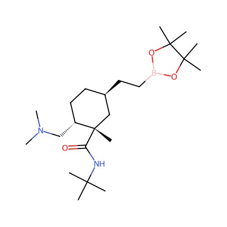 CN(C)C[C@@H]1CC[C@@H](CCB2OC(C)(C)C(C)(C)O2)C[C@]1(C)C(=O)NC(C)(C)C